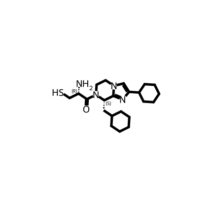 N[C@@H](CS)C(=O)N1CCn2cc(C3CCCCC3)nc2[C@@H]1CC1CCCCC1